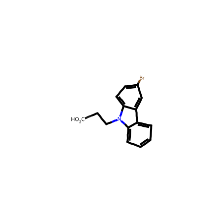 O=C(O)CCn1c2ccccc2c2cc(Br)ccc21